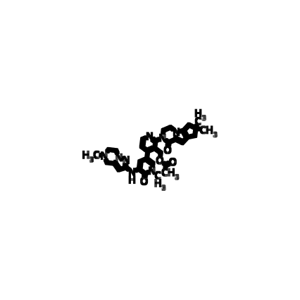 CC(=O)OCc1c(-c2cc(Nc3cc4n(n3)CCN(C)C4)c(=O)n(C)c2)ccnc1N1CCn2c(cc3c2CC(C)(C)C3)C1=O